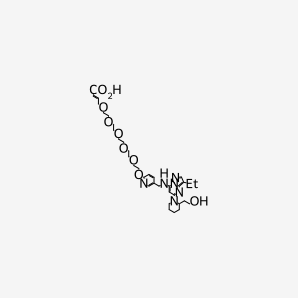 CCc1cnn2c(NCc3ccc(OCCOCCOCCOCCOCCOC/C=C/C(=O)O)nc3)cc(N3CCCCC3CCO)nc12